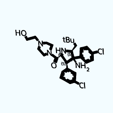 CC(C)(C)C[C@@H]1N[C@@H](C(=O)N2CCN(CCO)CC2)[C@H](c2cccc(Cl)c2)[C@@]1(N)c1ccc(Cl)cc1